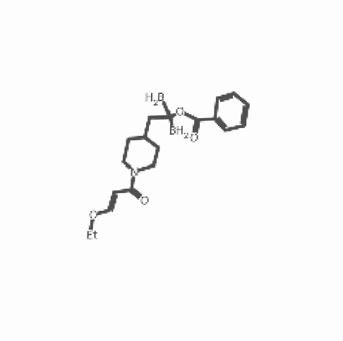 BC(B)(CC1CCN(C(=O)/C=C/OCC)CC1)OC(=O)c1ccccc1